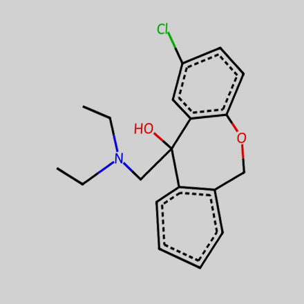 CCN(CC)CC1(O)c2ccccc2COc2ccc(Cl)cc21